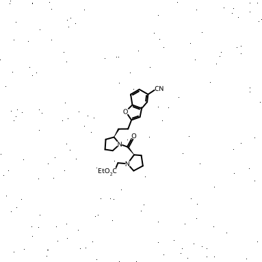 CCOC(=O)CN1CCC[C@@H]1C(=O)N1CCC[C@H]1CCc1cc2cc(C#N)ccc2o1